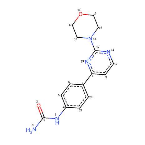 NC(=O)Nc1ccc(-c2ccnc(N3CCOCC3)n2)cc1